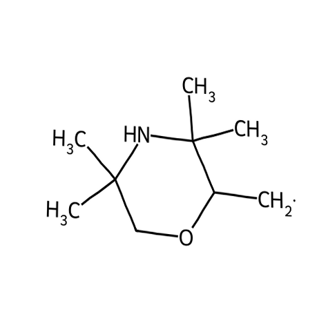 [CH2]C1OCC(C)(C)NC1(C)C